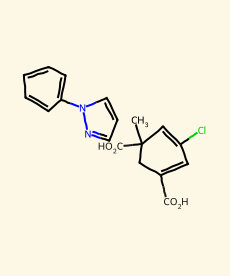 CC1(C(=O)O)C=C(Cl)C=C(C(=O)O)C1.c1ccc(-n2cccn2)cc1